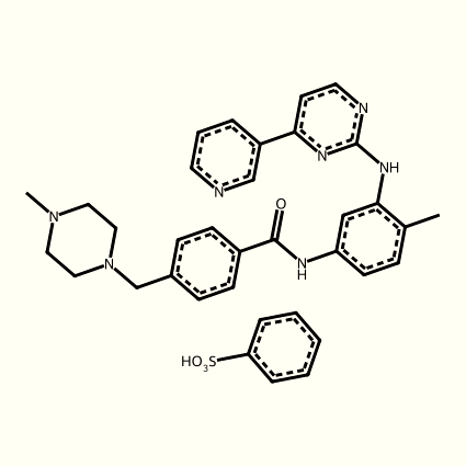 Cc1ccc(NC(=O)c2ccc(CN3CCN(C)CC3)cc2)cc1Nc1nccc(-c2cccnc2)n1.O=S(=O)(O)c1ccccc1